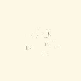 CCCCc1nnc(C(=O)NC2(CO)CCNC2)cc1-c1ccc(OC2CCCCC2)cc1.Cl.Cl